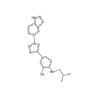 N#Cc1cc(-c2nnc(-c3ccc4[nH]ncc4c3)o2)ccc1NCC(F)F